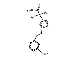 COC(=O)C(C)(C)n1cc(CSc2cccc(OC)c2)nn1